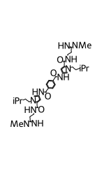 CNC(=N)CCNC(=O)c1cc(NC(=O)c2ccc(C(=O)Nc3cc(C(=O)NCCC(=N)NC)n(CCC(C)C)c3)cc2)cn1CCC(C)C